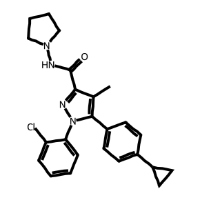 Cc1c(C(=O)NN2CCCC2)nn(-c2ccccc2Cl)c1-c1ccc(C2CC2)cc1